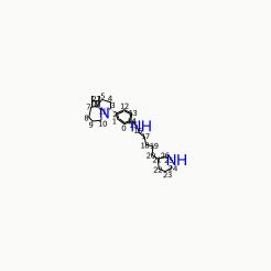 c1cc([C@H]2CC[C@H]3CCCCN32)ccc1NCCCCCC1CCCNC1